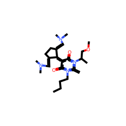 C=c1n(CCCC)c(=O)c(=C2/C(=C/N(C)C)CC/C2=C\N(C)C)c(=O)n1C(C)COC